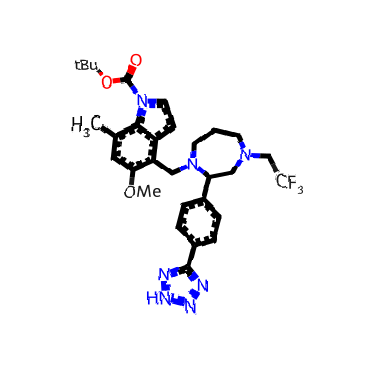 COc1cc(C)c2c(ccn2C(=O)OC(C)(C)C)c1CN1CCCN(CC(F)(F)F)CC1c1ccc(-c2nn[nH]n2)cc1